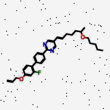 C=CCOc1ccc(-c2ccc(-c3ncc(C=CCCCC(C)OCCCCC)cn3)cc2)c(F)c1